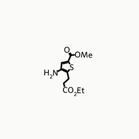 CCOC(=O)CCc1sc(C(=O)OC)cc1N